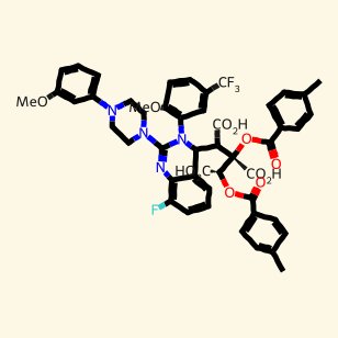 COc1cccc(N2CCN(C3=Nc4c(F)cccc4C(C(C(=O)O)[C@@](OC(=O)c4ccc(C)cc4)(C(=O)O)[C@H](OC(=O)c4ccc(C)cc4)C(=O)O)N3c3cc(C(F)(F)F)ccc3OC)CC2)c1